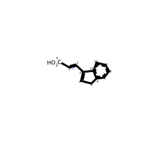 O=C(O)/C=C/C1=CCc2ccccc21